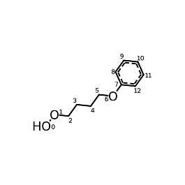 OOCCCCOc1ccccc1